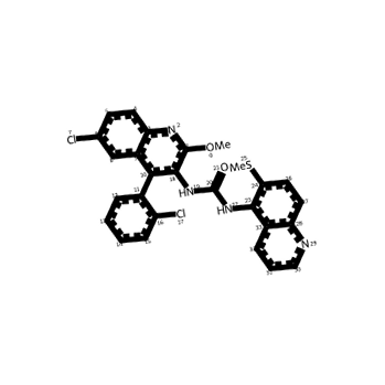 COc1nc2ccc(Cl)cc2c(-c2ccccc2Cl)c1NC(=O)Nc1c(SC)ccc2ncccc12